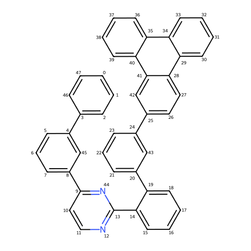 c1ccc(-c2cccc(-c3ccnc(-c4ccccc4-c4cccc(-c5ccc6c7ccccc7c7ccccc7c6c5)c4)n3)c2)cc1